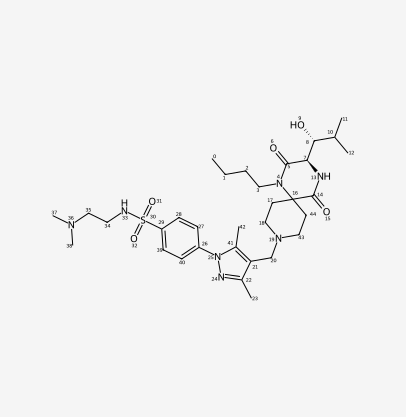 CCCCN1C(=O)[C@@H]([C@H](O)C(C)C)NC(=O)C12CCN(Cc1c(C)nn(-c3ccc(S(=O)(=O)NCCN(C)C)cc3)c1C)CC2